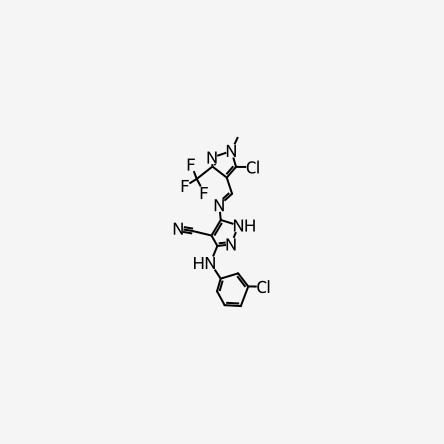 Cn1nc(C(F)(F)F)c(/C=N/c2[nH]nc(Nc3cccc(Cl)c3)c2C#N)c1Cl